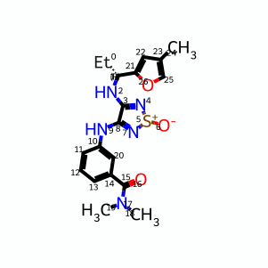 CC[C@@H](Nc1n[s+]([O-])nc1Nc1cccc(C(=O)N(C)C)c1)c1cc(C)co1